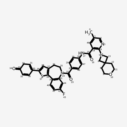 Cc1cnc(N2CC3(CCOCC3)C2)c(C(=O)Nc2ccc(C(=O)N3CCc4cc(C5=CCC(=O)C=C5)sc4-c4ccc(F)cc43)cc2)c1